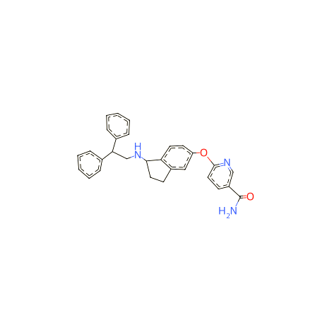 NC(=O)c1ccc(Oc2ccc3c(c2)CCC3NCC(c2ccccc2)c2ccccc2)nc1